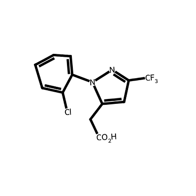 O=C(O)Cc1cc(C(F)(F)F)nn1-c1ccccc1Cl